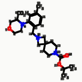 O=C(O)C1COCCN1c1cc(C(F)(F)F)ccc1CN1CC2(CCN(C(=O)OC(C(F)(F)F)C(F)(F)F)CC2)C1